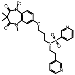 CCN1C(=O)C(C)(C)C(=O)N(C)c2cc(OCCCN(CCc3cccnc3)S(=O)(=O)c3cccnc3)ccc21